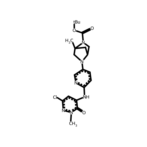 Cn1nc(Cl)cc(Nc2ccc(N3CC4(C)CC3CN4C(=O)OC(C)(C)C)cn2)c1=O